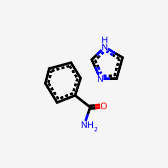 NC(=O)c1ccccc1.c1c[nH]cn1